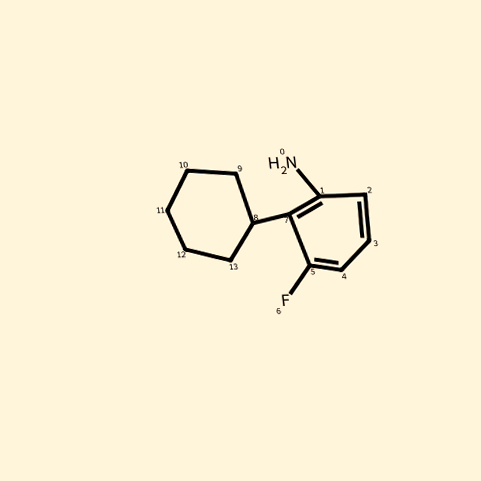 Nc1cccc(F)c1C1CCCCC1